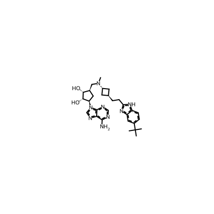 CN(C[C@H]1C[C@@H](n2cnc3c(N)ncnc32)[C@H](O)[C@@H]1O)[C@H]1C[C@H](CCc2nc3cc(C(C)(C)C)ccc3[nH]2)C1